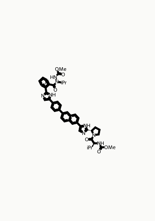 COC(=O)N[C@H](C(=O)N1CCC[C@H]1c1ncc(-c2ccc3cc(-c4ccc(-c5cnc(-c6c(C(=O)N(NC(=O)OC)C(C)C)c7ccc6o7)[nH]5)cc4)ccc3c2)[nH]1)C(C)C